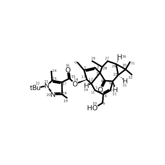 CC1=CC23C(=O)[C@@H](C=C(CO)C[C@@H]2[C@H]1OC(=O)c1c(C)nn(C(C)(C)C)c1C)[C@H]1[C@@H](CC3C)C1(C)C